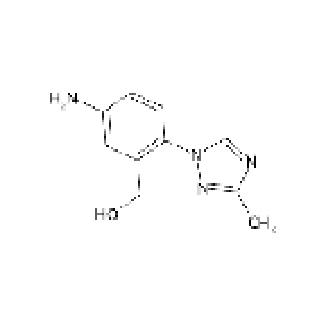 Cc1ncn(-c2ccc(N)cc2CO)n1